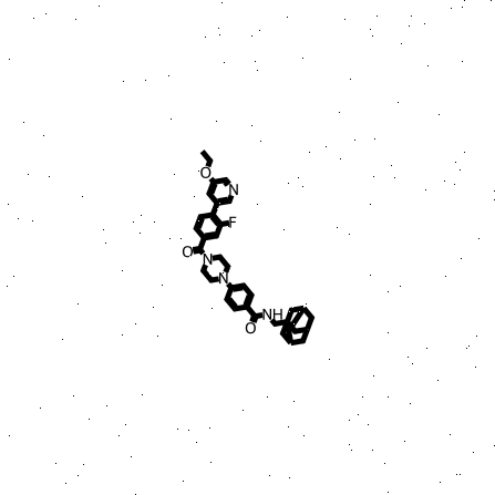 CCOc1cncc(-c2ccc(C(=O)N3CCN(c4ccc(C(=O)NCC56CC7CC(CC(C7)C5)C6)cc4)CC3)cc2F)c1